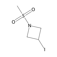 CS(=O)(=O)N1CC(I)C1